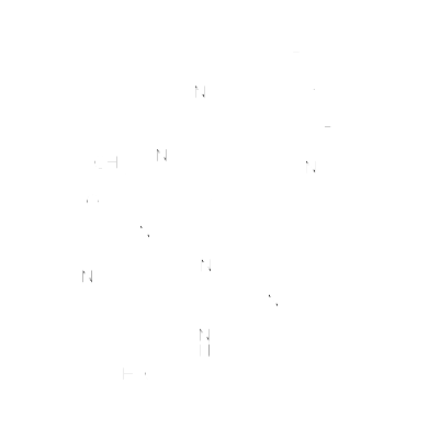 COc1ncc(C(C)Nc2ncc(C#N)c(-c3c[nH]c4ncc(C(F)(F)F)cc34)n2)cn1